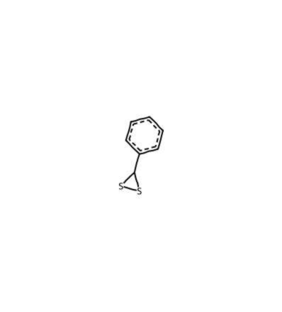 c1ccc(C2SS2)cc1